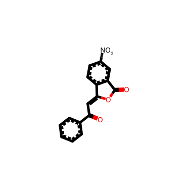 O=C(C=C1OC(=O)c2cc([N+](=O)[O-])ccc21)c1ccccc1